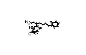 NCC(CCCCc1ccccc1)c1noc(=O)[nH]1